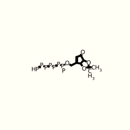 CC1(C)OC2C(=O)C=C(COP(#P)P=PP=PP=P)C2O1